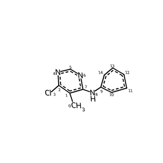 Cc1c(Cl)ncnc1Nc1ccccc1